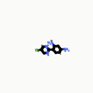 Nc1ccc(-c2ncc(Cl)cn2)c(N)c1